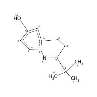 CC(C)(C)C1=Nc2ccc(O)cc2CC1